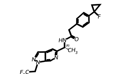 C[C@@H](NC(=O)Cc1ccc(C2(F)CC2)cc1)c1cc2cnn(CC(F)(F)F)c2cn1